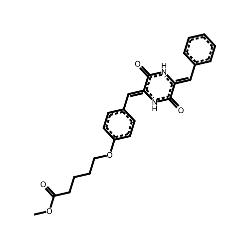 COC(=O)CCCCOc1ccc(C=c2[nH]c(=O)c(=Cc3ccccc3)[nH]c2=O)cc1